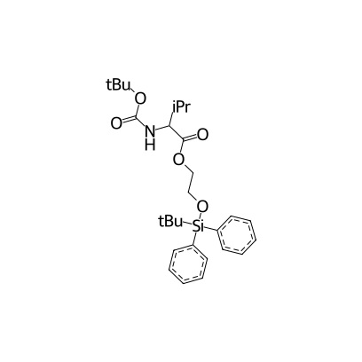 CC(C)C(NC(=O)OC(C)(C)C)C(=O)OCCO[Si](c1ccccc1)(c1ccccc1)C(C)(C)C